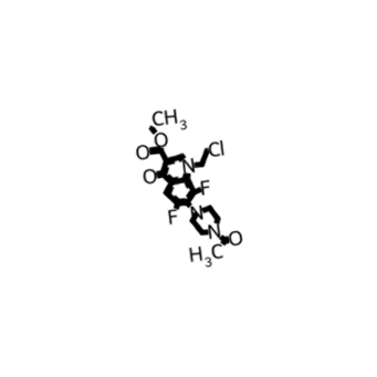 CCOC(=O)c1cn(CCCl)c2c(F)c(N3CCN(C(C)=O)CC3)c(F)cc2c1=O